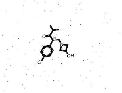 CC(C)C(=O)[C@@H](CN1CC(O)C1)c1ccc(Cl)cc1